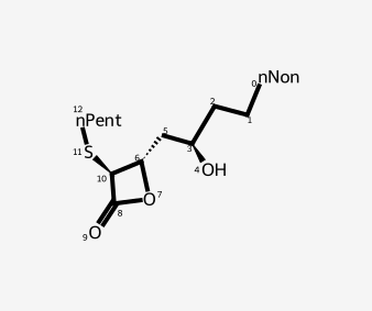 CCCCCCCCCCC[C@@H](O)C[C@@H]1OC(=O)[C@H]1SCCCCC